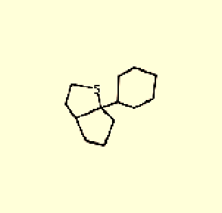 C1CCC(C23CCCC2CCS3)CC1